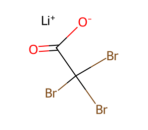 O=C([O-])C(Br)(Br)Br.[Li+]